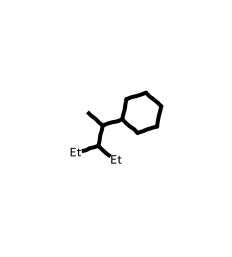 CC[C](CC)C(C)C1CCCCC1